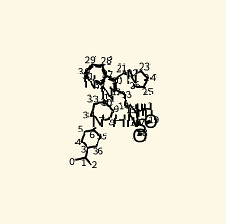 CC(C)C1CCC(N2CCC(n3c(CCNN[SH](=O)=O)c(CN4CCCC4)c4cccnc43)CC2)CC1